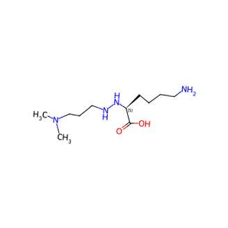 CN(C)CCCNN[C@@H](CCCCN)C(=O)O